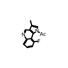 CC(=O)n1cc(C)c2cnc3cccc(F)c3c21